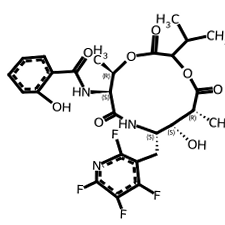 CC(C)C1OC(=O)[C@H](C)[C@H](O)[C@H](Cc2c(F)nc(F)c(F)c2F)NC(=O)[C@@H](NC(=O)c2ccccc2O)[C@@H](C)OC1=O